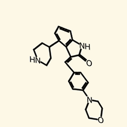 O=C1Nc2cccc(C3CCNCC3)c2C1=Cc1ccc(N2CCOCC2)cc1